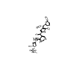 NS(=O)(=O)OC[C@H]1C[C@@H](Nc2ncncc2C(=O)c2cc([C@H](O)c3cccc(Cl)n3)c(Cl)s2)C[C@@H]1O